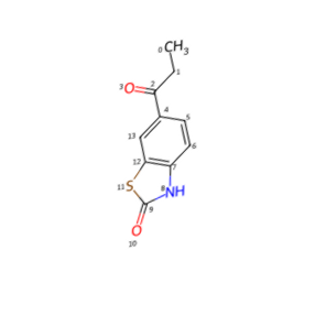 CCC(=O)c1ccc2[nH]c(=O)sc2c1